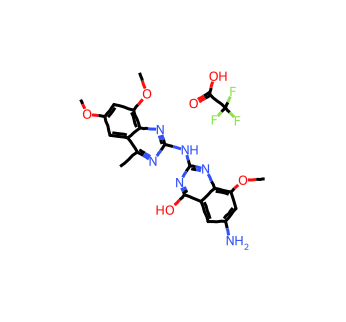 COc1cc(OC)c2nc(Nc3nc(O)c4cc(N)cc(OC)c4n3)nc(C)c2c1.O=C(O)C(F)(F)F